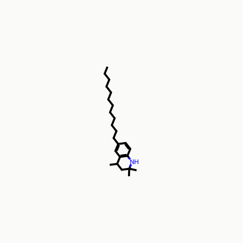 CCCCCCCCCCCCc1ccc2c(c1)C(C)CC(C)(C)N2